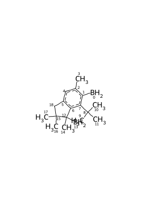 Bc1c(C)cc2c(c1C(C)(C)C)C(B)(C)C(C)(C)C2